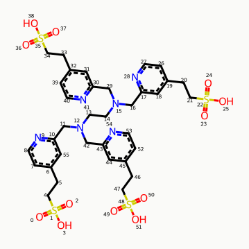 O=S(=O)(O)CCc1ccnc(CN(CCN(Cc2cc(CCS(=O)(=O)O)ccn2)Cc2cc(CCS(=O)(=O)O)ccn2)Cc2cc(CCS(=O)(=O)O)ccn2)c1